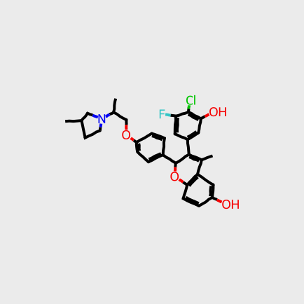 CC1=C(c2cc(O)c(Cl)c(F)c2)C(c2ccc(OCC(C)N3CCC(C)C3)cc2)Oc2ccc(O)cc21